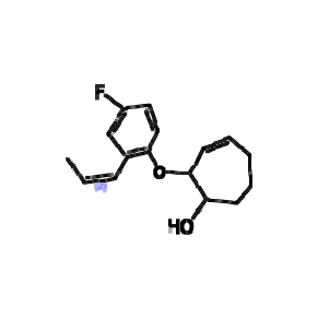 C/C=C\c1cc(F)ccc1OC1C=CCCCC1O